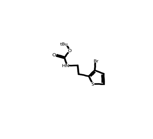 CC(C)(C)OC(=O)NCCc1sccc1Br